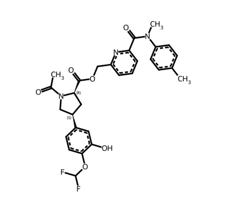 CC(=O)N1C[C@H](c2ccc(OC(F)F)c(O)c2)C[C@@H]1C(=O)OCc1cccc(C(=O)N(C)c2ccc(C)cc2)n1